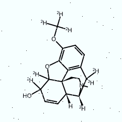 [2H]C([2H])([2H])Oc1ccc2c3c1OC1([2H])C([2H])(O)C=C[C@@H]4[C@@]31CCN(C)[C@]4([2H])C2([2H])[2H]